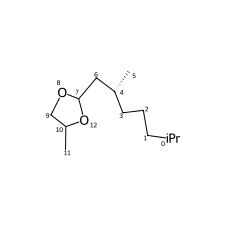 CC(C)CCC[C@@H](C)CC1OCC(C)O1